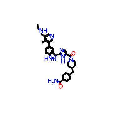 CCNCc1cncc(-c2ccc3[nH]nc(-c4ncc(C(=O)N5CCC(Cc6ccc(C(N)=O)cc6)CC5)[nH]4)c3c2)c1C